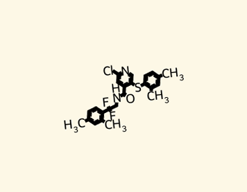 Cc1ccc(Sc2cnc(Cl)cc2C(=O)NCC(F)(F)c2ccc(C)cc2C)c(C)c1